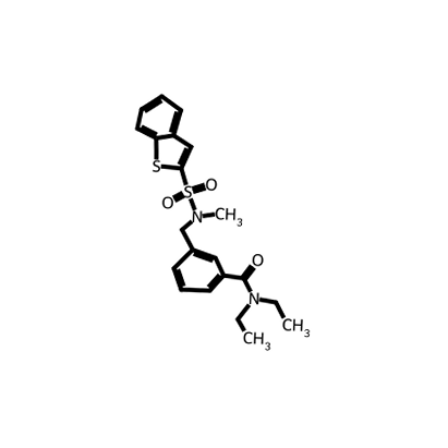 CCN(CC)C(=O)c1cccc(CN(C)S(=O)(=O)c2cc3ccccc3s2)c1